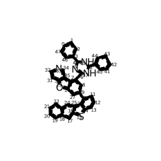 c1ccc(C2N=C(c3cc(-c4cccc5sc6cc7ccccc7cc6c45)cc4oc5ccncc5c34)NC(c3ccccc3)N2)cc1